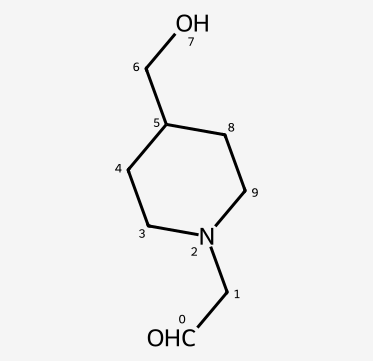 O=CCN1CCC(CO)CC1